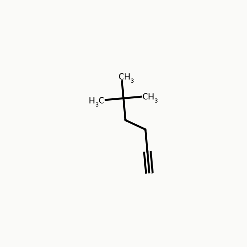 [C]#CCCC(C)(C)C